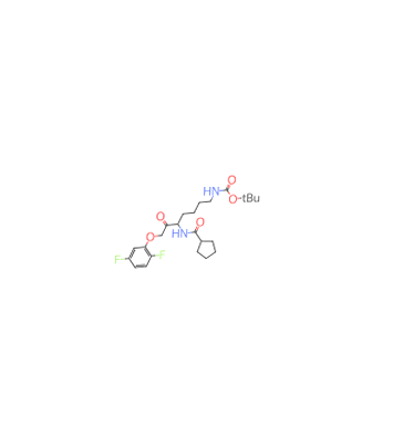 CC(C)(C)OC(=O)NCCCCC(NC(=O)C1CCCC1)C(=O)COc1cc(F)ccc1F